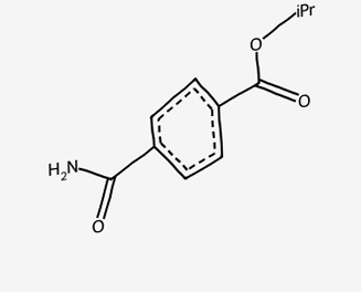 CC(C)OC(=O)c1ccc(C(N)=O)cc1